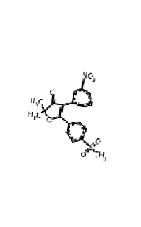 CC1(C)OC(c2ccc(S(C)(=O)=O)cc2)=C(c2cccc([N+](=O)[O-])c2)C1=O